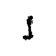 O=C(NC1(C(=O)OCCOCCOCCOCCOC(=O)C2(NC(=O)OCC3[C@H]4CCC#CCC[C@@H]34)CC2)CC1)OCC1[C@H]2CCC#CCC[C@@H]12